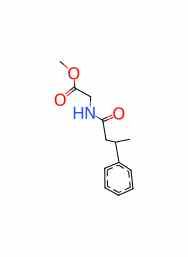 COC(=O)CNC(=O)CC(C)c1ccccc1